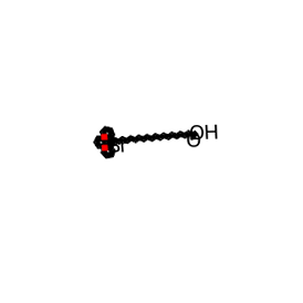 O=C(O)CCCCCCCCCCCCCCCCCCCP(Br)(c1ccccc1)(c1ccccc1)c1ccccc1